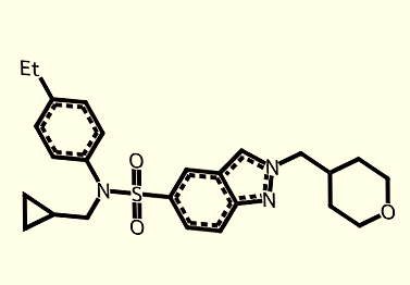 CCc1ccc(N(CC2CC2)S(=O)(=O)c2ccc3nn(CC4CCOCC4)cc3c2)cc1